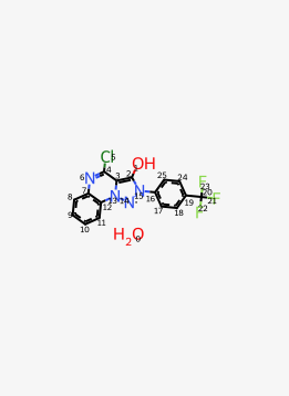 O.OC1=C2C(Cl)=Nc3ccccc3N2[N]N1c1ccc(C(F)(F)F)cc1